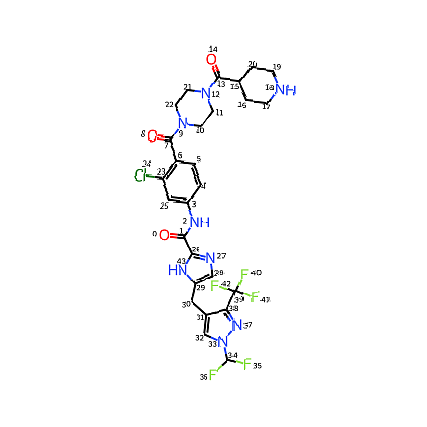 O=C(Nc1ccc(C(=O)N2CCN(C(=O)C3CCNCC3)CC2)c(Cl)c1)c1ncc(Cc2cn(C(F)F)nc2C(F)(F)F)[nH]1